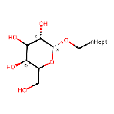 CCCCCCCCO[C@@H]1OC(CO)[C@@H](O)C(O)[C@@H]1O